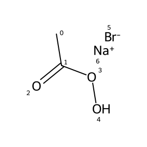 CC(=O)OO.[Br-].[Na+]